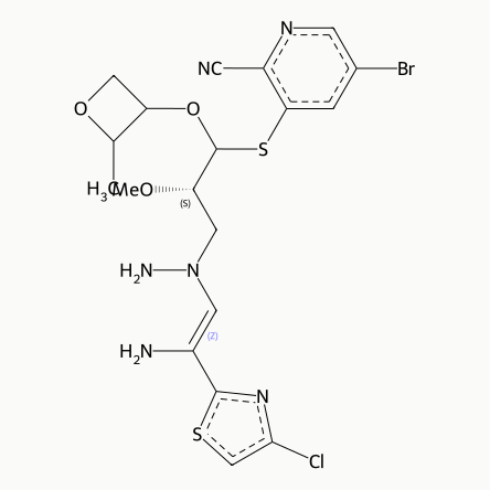 CO[C@@H](CN(N)/C=C(\N)c1nc(Cl)cs1)C(OC1COC1C)Sc1cc(Br)cnc1C#N